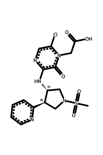 CS(=O)(=O)N1C[C@@H](Nc2ncc(Cl)n(CC(=O)O)c2=O)[C@H](c2ccccn2)C1